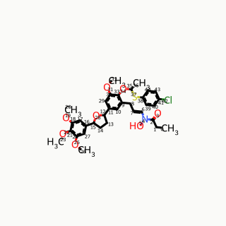 CCC(=O)N(O)/C=C/Cc1cc(C2CCC(c3cc(OC)c(OC)c(OC)c3)O2)cc(OC)c1OC(C)Sc1ccc(Cl)cc1